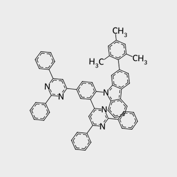 Cc1cc(C)c(-c2ccc3c4ccccc4n(-c4ccc(-c5cc(-c6ccccc6)nc(-c6ccccc6)n5)cc4-c4cc(-c5ccccc5)nc(-c5ccccc5)n4)c3c2)c(C)c1